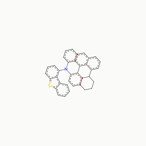 c1ccc(N(c2ccccc2-c2cccc3cccc(C4CCCCC4)c23)c2cccc3sc4ccccc4c23)cc1